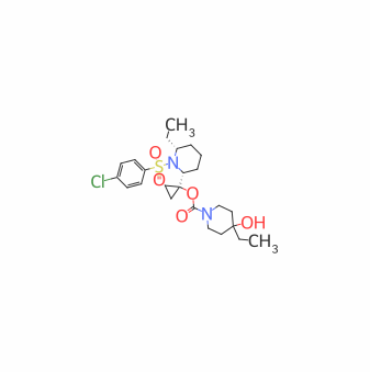 CC[C@@H]1CCC[C@H](C2(OC(=O)N3CCC(O)(CC)CC3)CC2)N1S(=O)(=O)c1ccc(Cl)cc1